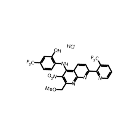 COCc1nc2nc(-c3ncccc3C(F)(F)F)ccc2c(Nc2ccc(C(F)(F)F)cc2O)c1[N+](=O)[O-].Cl